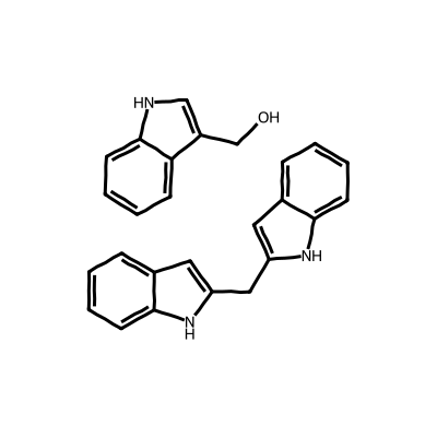 OCc1c[nH]c2ccccc12.c1ccc2[nH]c(Cc3cc4ccccc4[nH]3)cc2c1